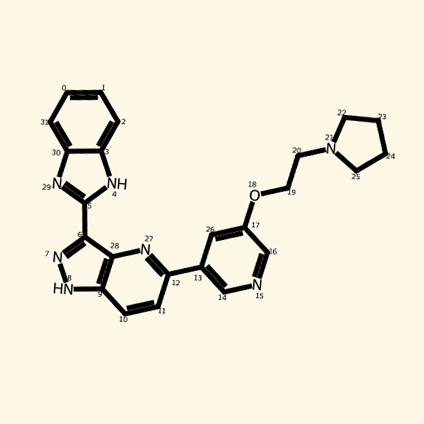 c1ccc2[nH]c(-c3n[nH]c4ccc(-c5cncc(OCCN6CCCC6)c5)nc34)nc2c1